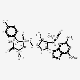 COc1nc(N)nc2c1ncn2[C@@H]1O[C@H](COP(=O)(N[C@@H](C)C(=O)OCC(C)C)Oc2ccc(Cl)cc2)[C@@H](O)[C@@]1(C)N=[N+]=[N-]